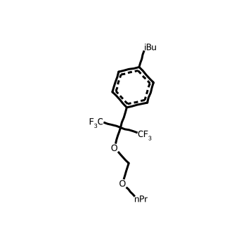 CCCOCOC(c1ccc(C(C)CC)cc1)(C(F)(F)F)C(F)(F)F